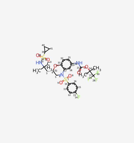 CC(C)(C[C@H]1CN(S(=O)(=O)c2ccc(F)cc2)c2cc(NC(=O)OC(C)(C)C(F)(F)F)ccc2O1)NS(=O)(=O)C1CC1